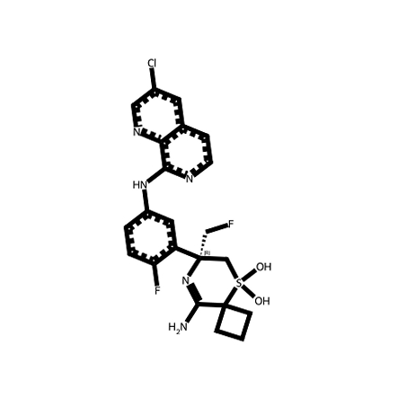 NC1=N[C@@](CF)(c2cc(Nc3nccc4cc(Cl)cnc34)ccc2F)CS(O)(O)C12CCC2